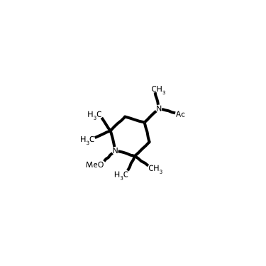 CON1C(C)(C)CC(N(C)C(C)=O)CC1(C)C